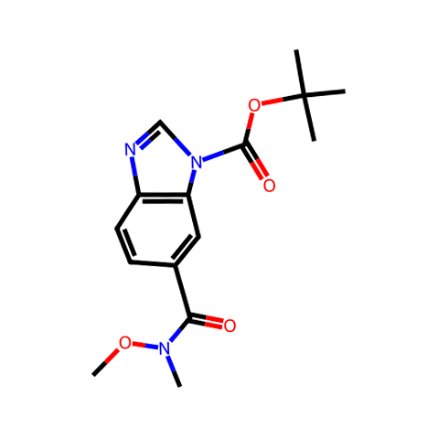 CON(C)C(=O)c1ccc2ncn(C(=O)OC(C)(C)C)c2c1